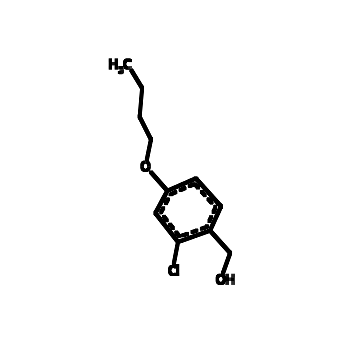 CCCCOc1ccc(CO)c(Cl)c1